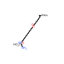 CCCCCCC1CC1CCCCCCCCCC(=O)OCCCCCCCCCCCCCCCCCC(=O)N[C@@H](CCCN)C(=O)O